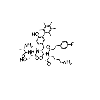 Cc1c(C)c(C)c(-c2cc(C[C@@H](C(=O)N(C(=O)CCc3ccc(F)cc3)[C@@H]([C]=O)CCCCN)N(C)C(=O)[C@H](CO)NC(=O)[C@H](C)N)ccc2O)c(C)c1C